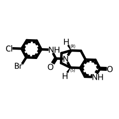 O=C(Nc1ccc(Cl)c(Br)c1)N1[C@@H]2CC[C@H]1c1c[nH]c(=O)cc1C2